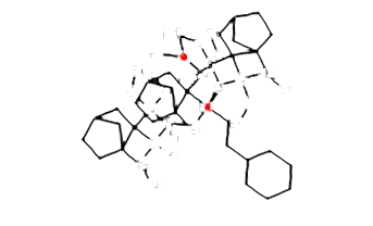 CCO[Si](OCC)(OCC)C1(S(S)(SS)SSS(CCC2CCCCC2)(SS(S)(SS)C2([Si](OCC)(OCC)OCC)CC3CCC2(CC)C3)C2([Si](OCC)(OCC)OCC)CC3CCC2(CC)C3)CC2CCC1(CC)C2